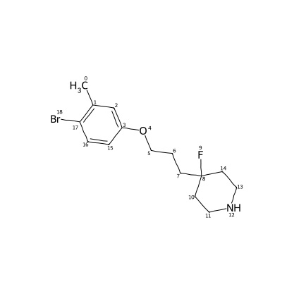 Cc1cc(OCCCC2(F)CCNCC2)ccc1Br